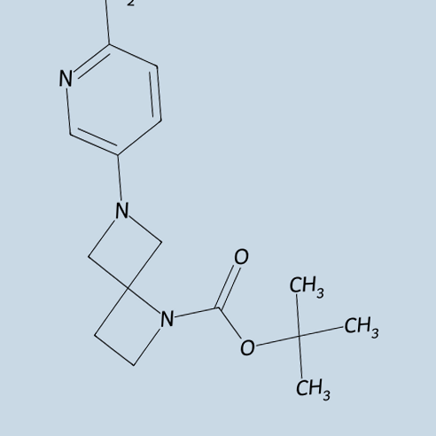 CC(C)(C)OC(=O)N1CCC12CN(c1ccc(N)nc1)C2